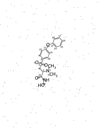 CN(C)C(CS(=O)(=O)c1ccc(Oc2ccccc2)cc1)C(=O)NO